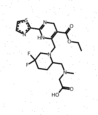 CCOC(=O)C1=C(CN2CC(F)(F)CCC2CN(C)CC(=O)O)NC(c2nccs2)=NC1